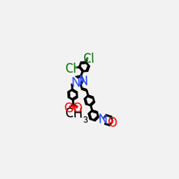 COC(=O)c1ccc(Cn2cc(-c3ccc(Cl)cc3Cl)nc2C=Cc2ccc(-c3cccc(N4CCOCC4)c3)cc2)cc1